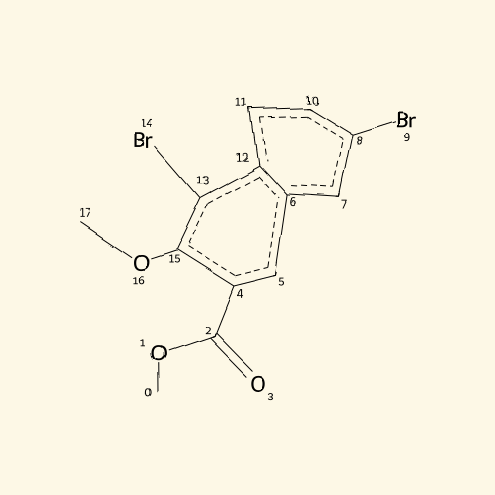 COC(=O)c1cc2cc(Br)ccc2c(Br)c1OC